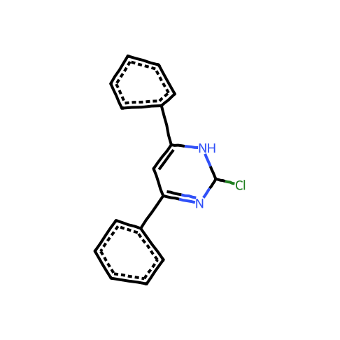 ClC1N=C(c2ccccc2)C=C(c2ccccc2)N1